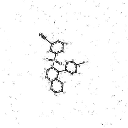 N#Cc1cc(F)cc(S(=O)(=O)c2cnc3ccccc3c2-c2ccc(F)cc2)c1